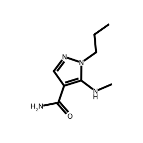 CCCn1ncc(C(N)=O)c1NC